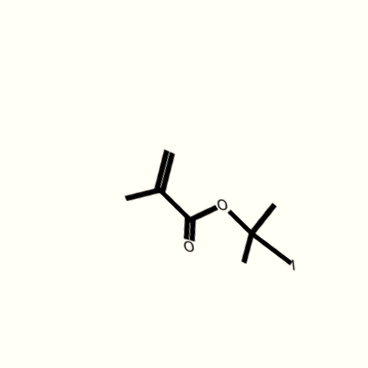 C=C(C)C(=O)OC(C)(C)I